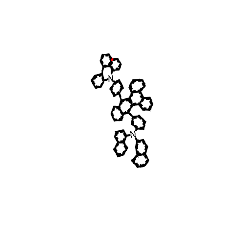 c1ccc(-c2ccccc2N(c2ccccc2)c2ccc(-c3c4ccccc4c(-c4cccc(N(c5ccc6ccccc6c5)c5cccc6ccccc56)c4)c4c5ccccc5c5ccccc5c34)cc2)cc1